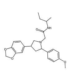 CCC(C)NC(=O)CN1CC(c2ccc3c(c2)OCO3)CC1c1ccc(OC)cc1